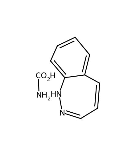 C1=Cc2ccccc2NN=C1.NC(=O)O